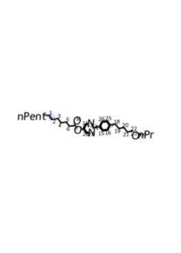 CCCCC/C=C/CCCCC(=O)Oc1cnc(-c2ccc(CCCCCOCCC)cc2)nc1